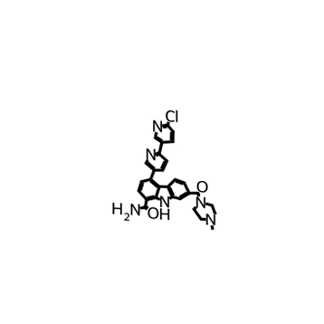 CN1CCN(C(=O)c2ccc3c(c2)[nH]c2c(C(N)=O)ccc(-c4ccc(-c5ccc(Cl)nc5)nc4)c23)CC1